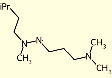 CC(C)CCN(C)[N]CCCN(C)C